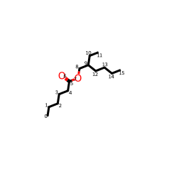 CCCCCC(=O)OCC(CC)CCCC